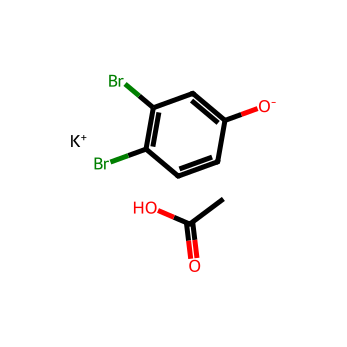 CC(=O)O.[K+].[O-]c1ccc(Br)c(Br)c1